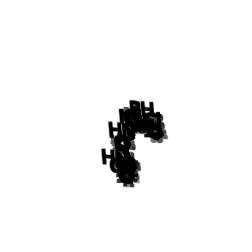 Bc1cnn2c(NCc3cccc(CNS(=O)(=O)c4ccccc4F)c3)cc(-c3ccccc3Cl)nc12